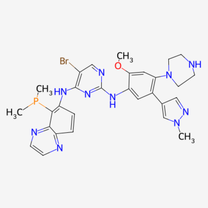 COc1cc(N2CCNCC2)c(-c2cnn(C)c2)cc1Nc1ncc(Br)c(Nc2ccc3nccnc3c2P(C)C)n1